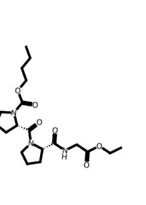 CCCCOC(=O)N1CCC[C@H]1C(=O)N1CCC[C@H]1C(=O)NCC(=O)OCC